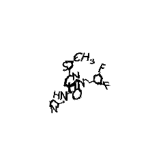 Cc1csc(-c2ccc(C(=O)NCc3cccnc3)c(NCCc3cc(F)cc(F)c3)n2)c1